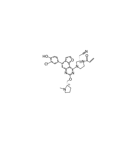 C=CC(=O)N1CCN(c2nc(OC[C@@H]3CCCN3C)nc3cc(-c4ccc(O)c(Cl)c4)c4ccoc4c23)C[C@@H]1CC#N